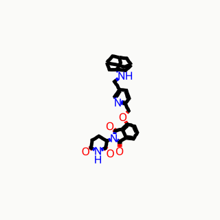 O=C1CCC(N2C(=O)c3cccc(OCc4ccc(CNC56CC7CC(CC(C7)C5)C6)cn4)c3C2=O)C(=O)N1